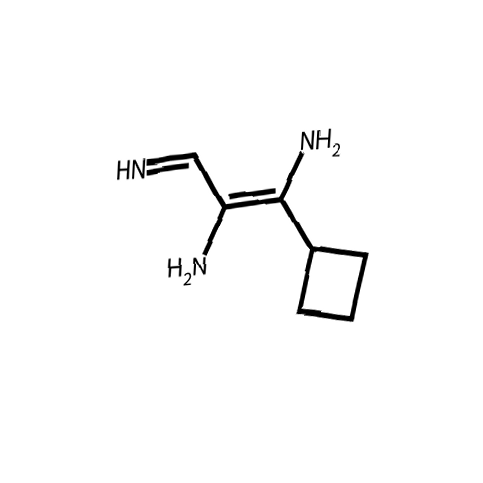 N=C/C(N)=C(\N)C1CCC1